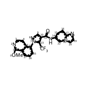 COc1nccc2c(-n3ncc(C(=O)Nc4ccc5nccn5c4)c3C(F)(F)F)cccc12